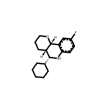 Fc1ccc2c(c1)[C@H]1OCCC[C@H]1[C@@H](C1CCCCC1)N2